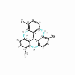 CCc1ccc(F)c(B(c2c(F)ccc(CC)c2F)c2c(F)ccc(CC)c2F)c1F